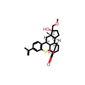 C=C(C)c1ccc2c(c1)S[C@]13CCC(=O)C=C1CC[C@@H]1C3[C@@H]2C[C@@]2(C)[C@H]1CC[C@@]2(O)COC